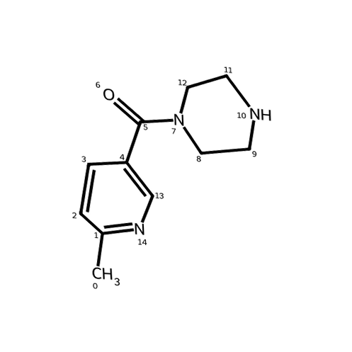 Cc1ccc(C(=O)N2CCNCC2)cn1